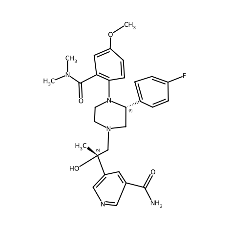 COc1ccc(N2CCN(C[C@@](C)(O)c3cncc(C(N)=O)c3)C[C@H]2c2ccc(F)cc2)c(C(=O)N(C)C)c1